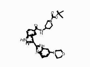 CC(C)(C)OC(=O)N1CCC(NC(=O)c2ccc3[nH]nc(-c4nc5ccc(N6CCOCC6)cc5[nH]4)c3c2)CC1